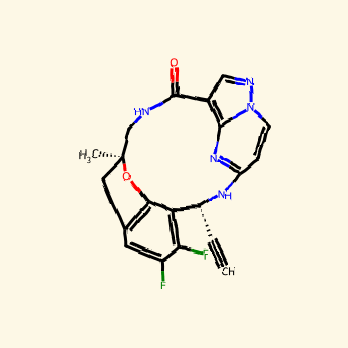 C#C[C@H]1Nc2ccn3ncc(c3n2)C(=O)NC[C@]2(C)Cc3cc(F)c(F)c1c3O2